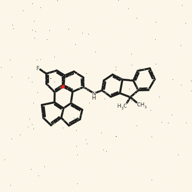 CC1(C)c2ccccc2-c2ccc(Nc3ccccc3-c3cccc4cccc(-c5cccc(F)c5)c34)cc21